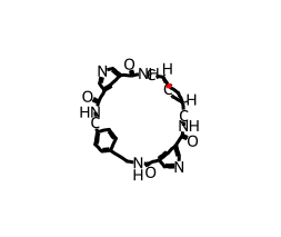 O=C1NCc2ccc(cc2)CNC(=O)c2cncc(c2)C(=O)NC[C@H]2CC[C@H](CC2)CNC(=O)c2cncc1c2